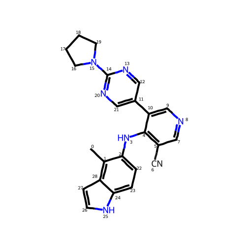 Cc1c(Nc2c(C#N)cncc2-c2cnc(N3CCCC3)nc2)ccc2[nH]ccc12